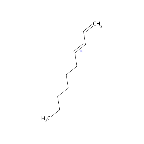 C=[C]/C=C/CCCCCC